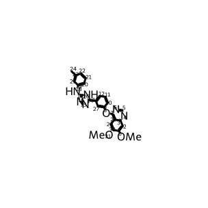 COc1cc2ncnc(Oc3cccc(-c4nnc(Nc5cccc(C)c5)[nH]4)c3)c2cc1OC